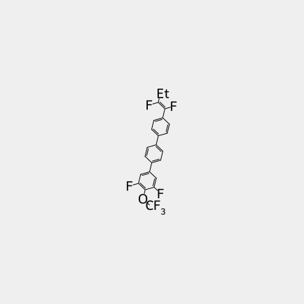 CC/C(F)=C(\F)c1ccc(-c2ccc(-c3cc(F)c(OC(F)(F)F)c(F)c3)cc2)cc1